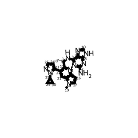 C[C@H](Nc1nc(N)nc2[nH]cnc12)c1nc2ccn(C)c2cc1-c1ccnn1C1CC1